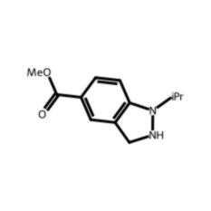 COC(=O)c1ccc2c(c1)CNN2C(C)C